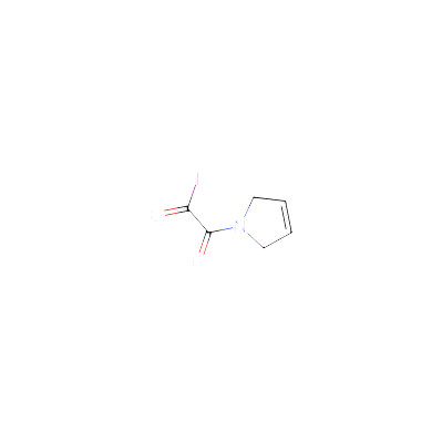 O=C(I)C(=O)N1CC=CC1